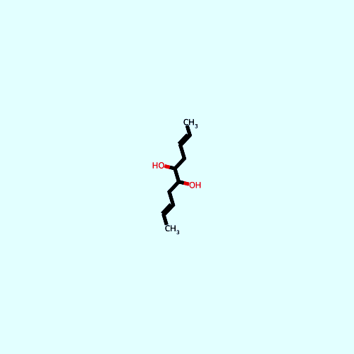 CC=CCC(O)C(O)CC=CC